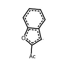 CC(=O)c1[c]c2ccccc2o1